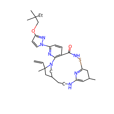 C=CC1(C)CC2CCNC3=CC(C)CC(=N3)SNC(=O)c3ccc(-n4ccc(OCC(C)(C)CC)n4)nc3N1C2